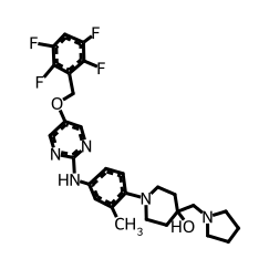 Cc1cc(Nc2ncc(OCc3c(F)c(F)cc(F)c3F)cn2)ccc1N1CCC(O)(CN2CCCC2)CC1